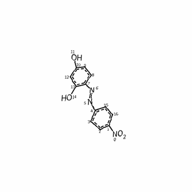 O=[N+]([O-])c1ccc(N=Nc2ccc(O)cc2O)cc1